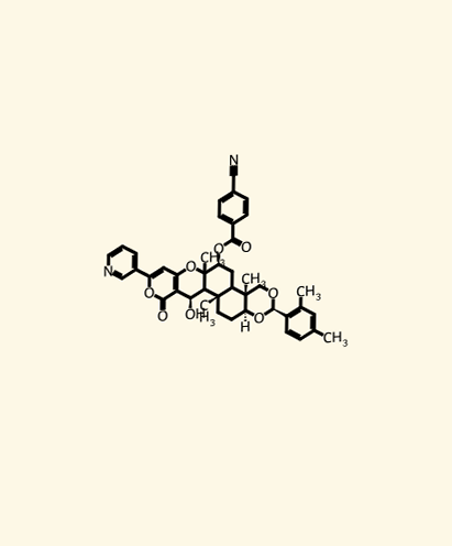 Cc1ccc([C@@H]2OC[C@@]3(C)C4C[C@H](OC(=O)c5ccc(C#N)cc5)C5(C)Oc6cc(-c7cccnc7)oc(=O)c6[C@H](O)C5[C@@]4(C)CC[C@@H]3O2)c(C)c1